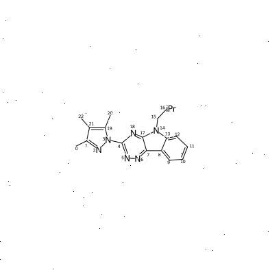 Cc1nn(-c2nnc3c4ccccc4n(CC(C)C)c3n2)c(C)c1C